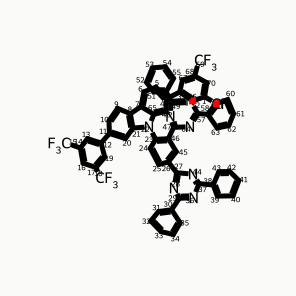 FC(F)(F)c1cc(-c2ccc3c4ccc(-c5cc(C(F)(F)F)cc(C(F)(F)F)c5)cc4n(-c4ccc(-c5nc(-c6ccccc6)nc(-c6ccccc6)n5)cc4-c4nc(-c5ccccc5)nc(-c5ccccc5)n4)c3c2)cc(C(F)(F)F)c1